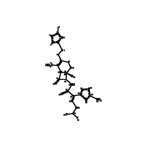 Cc1nsc(SCC2=C(C(=O)O)N3C(=O)C(NC(=O)/C(=N/OC(F)F)c4csc(N)n4)[C@H]3SC2)n1